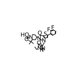 CCn1nnc(Cn2c(=O)n(C3CCN(C(=O)O)C(C(C)(C)C)C3)c(=O)c3sc(-c4cccc(F)c4F)cc32)n1